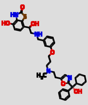 CN(CCCOc1cccc(CNC[C@H](O)c2ccc(O)c3[nH]c(=O)sc23)c1)CCc1cnc([C@](O)(c2ccccc2)C2CCCCC2)o1